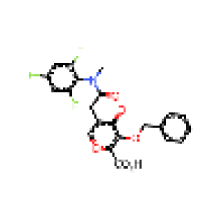 CN(C(=O)Cc1coc(C(=O)O)c(OCc2ccccc2)c1=O)c1c(F)cc(F)cc1F